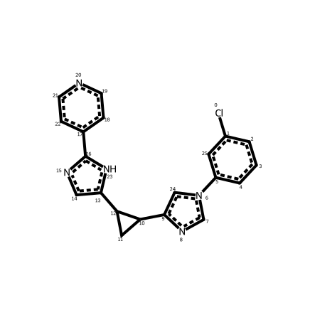 Clc1cccc(-n2cnc(C3CC3c3cnc(-c4ccncc4)[nH]3)c2)c1